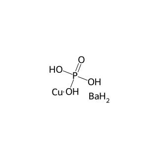 O=P(O)(O)O.[BaH2].[Cu]